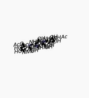 CNC1C(OC(CCO)/C(O)=C(/NC(C)=O)C(O)OC(CCO)/C(O)=C(/NC(C)=O)C(O)OC(CCO)/C(O)=C(/NC(C)=O)C(O)OC2C(CO)OC(O)C(NC(C)=O)C2O)OC(COC(C)=O)C(O)C1O